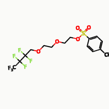 Cc1ccc(S(=O)(=O)OCCOCCOCC(F)(F)C(F)(F)C(F)(F)F)cc1